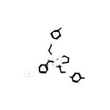 COc1ccc([C@@H](OC(=O)CCOc2ccc(C)cc2)[C@@H](CN2CCCC2)NC(=O)CCOc2ccc(C)cc2)cc1